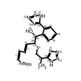 CCCCCCCCC/C=C\C=C\[C@@H](SCC(C)c1nnn[nH]1)[C@@H](O)c1ccccc1-c1nnn[nH]1